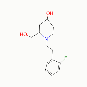 OCC1CC(O)CCN1CCc1ccccc1F